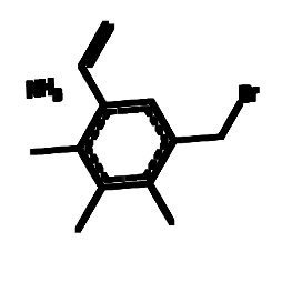 C=Cc1cc(CBr)c(C)c(C)c1C.N